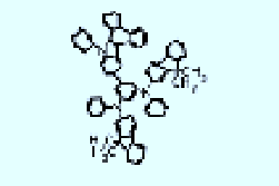 CC1(C)c2ccccc2-c2ccc(N(c3ccccc3)c3cc(-c4ccc5c(c4)c4c6ccccc6c6ccccc6c4n5-c4ccccc4)cc(N(c4ccccc4)c4ccc5c(c4)C(C)(C)c4ccccc4-5)c3)cc21